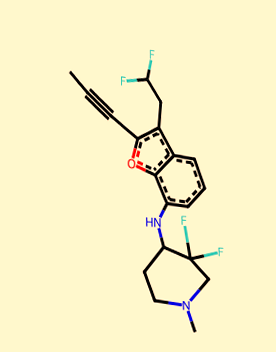 CC#Cc1oc2c(NC3CCN(C)CC3(F)F)cccc2c1CC(F)F